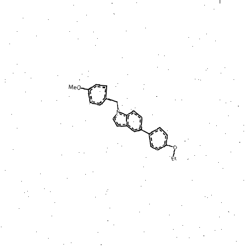 CCOc1ccc(-c2ccc3c(ccn3Cc3ccc(OC)cc3)c2)cc1